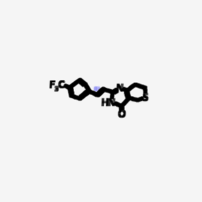 O=c1[nH]c(/C=C/c2ccc(C(F)(F)F)cc2)nc2c1CSCC2